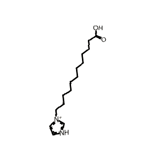 O=C(O)CCCCCCCCCCC[n+]1cc[nH]c1